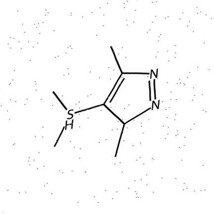 CC1=C([SH](C)C)C(C)N=N1